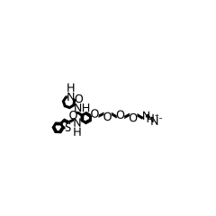 [N-]=[N+]=NCCOCCOCCOCCOc1ccc(NCc2cc3ccccc3s2)c(C(=O)NC2CCCCNC2=O)c1